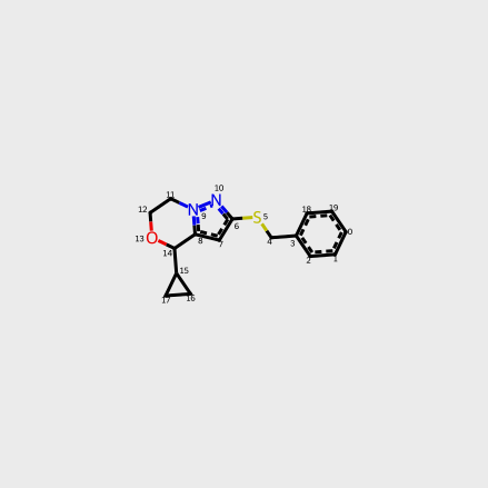 c1ccc(CSc2cc3n(n2)CCOC3C2CC2)cc1